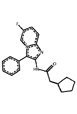 O=C(CC1CCCC1)Nc1nc2ccc(F)cn2c1-c1ccccc1